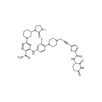 CN1CCN(C2CCCN(c3nnc(C(N)=O)c(Nc4ccc(N5CCN(CC#Cc6ccc(C(=O)NC7CCC(=O)NC7=O)s6)CC5)c(F)c4)n3)C2)C1=O